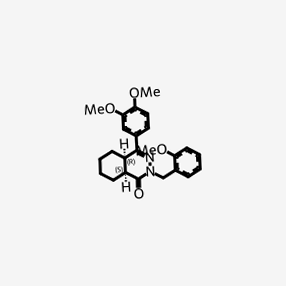 COc1ccccc1CN1N=C(c2ccc(OC)c(OC)c2)[C@@H]2CCCC[C@@H]2C1=O